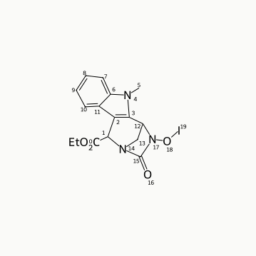 CCOC(=O)C1c2c(n(C)c3ccccc23)C2CN1C(=O)N2OI